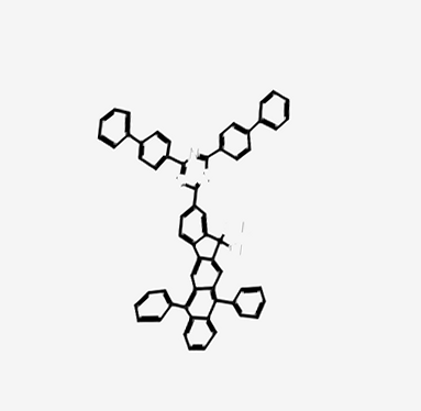 CC1(C)c2cc(-c3nc(-c4ccc(-c5ccccc5)cc4)nc(-c4ccc(-c5ccccc5)cc4)n3)ccc2-c2cc3c(-c4ccccc4)c4ccccc4c(-c4ccccc4)c3cc21